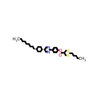 CCCCCCCCC[C@H]1CC[C@H](c2cnc(-c3ccc(OC(=O)C4CSC(CCCCC)SC4)cc3)nc2)CC1